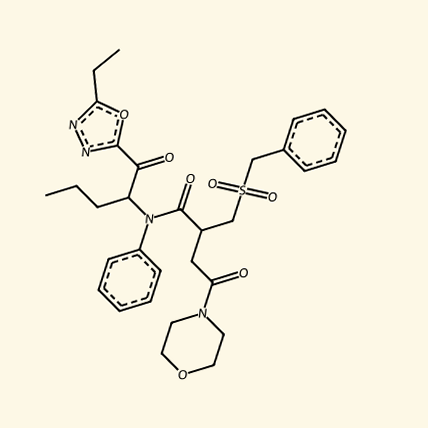 CCCC(C(=O)c1nnc(CC)o1)N(C(=O)C(CC(=O)N1CCOCC1)CS(=O)(=O)Cc1ccccc1)c1ccccc1